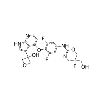 OCC1(F)CN=C(Nc2cc(F)c(Oc3ccnc4[nH]cc(C5(O)COC5)c34)c(F)c2)OC1